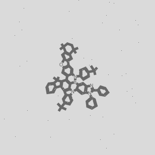 CC(C)(C)c1ccc(N2B3c4cc5nc(-c6ccccc6)n(-c6ccccc6)c5cc4-n4c5ccc(C(C)(C)C)cc5c5c6c(c(c3c54)-c3cc4oc5cc7c(cc5c4cc32)C(C)(C)CCC7(C)C)C(C)(C)c2ccccc2-6)cc1